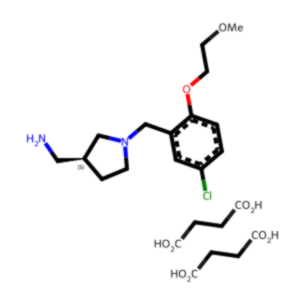 COCCOc1ccc(Cl)cc1CN1CC[C@@H](CN)C1.O=C(O)CCC(=O)O.O=C(O)CCC(=O)O